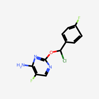 Nc1nc(OC(Cl)c2ccc(F)cc2)ncc1F